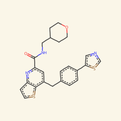 O=C(NCC1CCOCC1)c1cc(Cc2ccc(-c3cncs3)cc2)c2sccc2n1